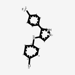 FC(F)(F)c1ccc(-c2[nH]ncc2Oc2ccc(Cl)cc2)cc1